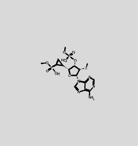 CO[C@H]1[C@@H](OP(=O)(O)OC)[C@@H](C2CC2P(=O)(O)OC)O[C@H]1n1cnc2c(N)ncnc21